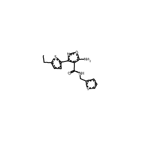 CCc1ccc(-c2noc(N)c2C(=O)NCc2cccs2)s1